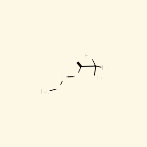 CCCCC(CC)(CC)C(=O)OOOC(C)(C)C